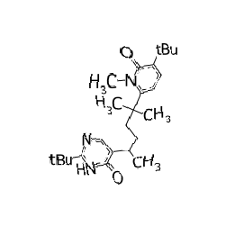 CC(CCC(C)(C)c1ccc(C(C)(C)C)c(=O)n1C)c1cnc(C(C)(C)C)[nH]c1=O